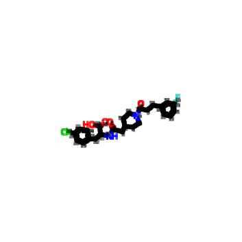 O=C(CC1CCN(C(=O)CCc2cccc(F)c2)CC1)NC(Cc1ccc(Cl)cc1)C(=O)O